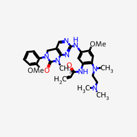 C=CC(=O)Nc1cc(Nc2ncc3c(n2)N(C)C(=O)N(c2ccccc2OC)C3)c(OC)cc1N(C)CCN(C)C